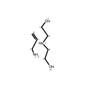 C=CCN.OCCNCCO